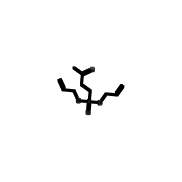 C=CCOP(=O)(CCC(C)=O)OCC=C